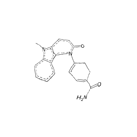 Cn1c2ccccc2c2c1ccc(=O)n2C1=CC=C(C(N)=O)CC1